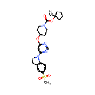 CC1(OC(=O)N2CCC(Oc3cc(N4CCc5cc(S(C)(=O)=O)ccc54)ncn3)CC2)CCCC1